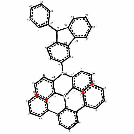 c1ccc(-c2cccc(-c3ccccc3)c2B2c3ccccc3N(c3ccc4c(c3)-c3ccccc3C4c3ccccc3)c3ccccc32)cc1